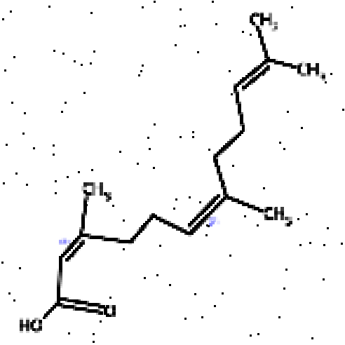 CC(C)=CCC/C(C)=C\CC/C(C)=C\C(=O)O